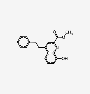 COC(=O)c1cc(CCc2ccccc2)c2cccc(O)c2n1